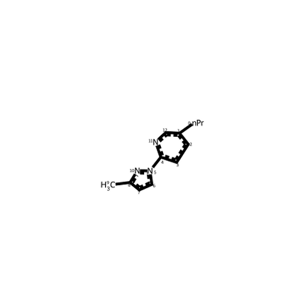 CCCc1ccc(-n2ccc(C)n2)nc1